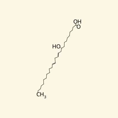 CCCCCCCCCCCC=CCC=CCC(O)CCCCCCCCC(=O)O